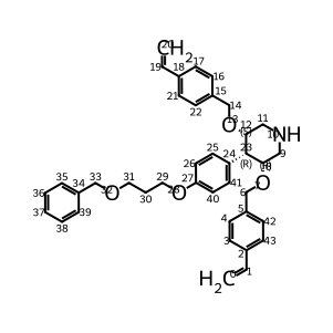 C=Cc1ccc(CO[C@H]2CNC[C@@H](OCc3ccc(C=C)cc3)[C@H]2c2ccc(OCCCOCc3ccccc3)cc2)cc1